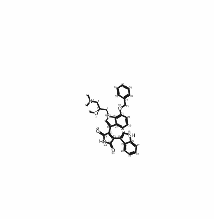 COC(CN(C)C)Cn1cc(C2=C(c3c[nH]c4ccccc34)C(=O)NC2=O)c2cccc(OCc3ccccc3)c21